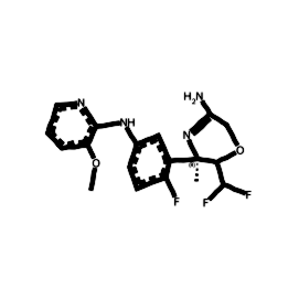 COc1cccnc1Nc1ccc(F)c([C@@]2(C)N=C(N)COC2C(F)F)c1